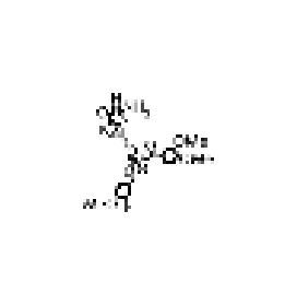 COc1ccc(COP(=O)(COCCn2cnc3c(=O)[nH]c(N)nc32)OCC(=O)c2ccc(OC)c(OC)c2)cc1F